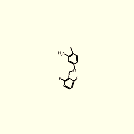 Cc1ccc(OCc2c(F)cccc2F)cc1N